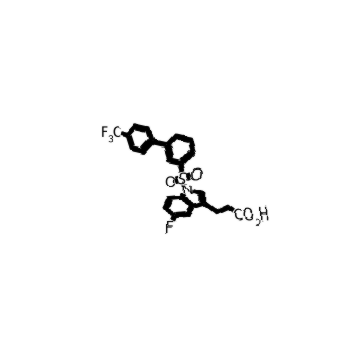 O=C(O)CCc1cn(S(=O)(=O)c2cccc(-c3ccc(C(F)(F)F)cc3)c2)c2ccc(F)cc12